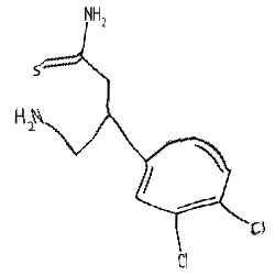 NCC(CC(N)=S)c1ccc(Cl)c(Cl)c1